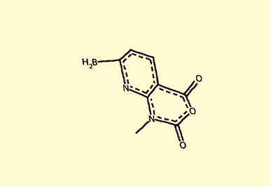 Bc1ccc2c(=O)oc(=O)n(C)c2n1